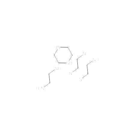 C1CNCCN1.NCCN.NCCN.NCCN